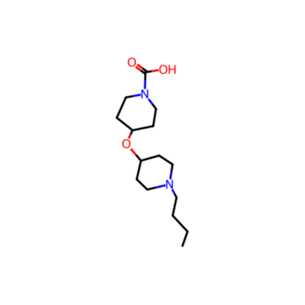 CCCCN1CCC(OC2CCN(C(=O)O)CC2)CC1